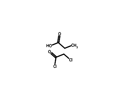 CCC(=O)O.O=C(Cl)CCl